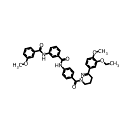 CCOc1cc(C2=NN(C(=O)c3ccc(NC(=O)c4cccc(NC(=O)c5cccc(OC)c5)c4)cc3)CCC2)ccc1OC